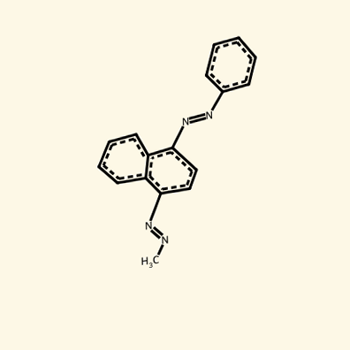 C/N=N/c1ccc(/N=N/c2ccccc2)c2ccccc12